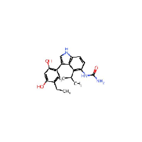 CCc1cc(-c2c[nH]c3ccc(NC(N)=O)c(C(C)C)c23)c(O)cc1O